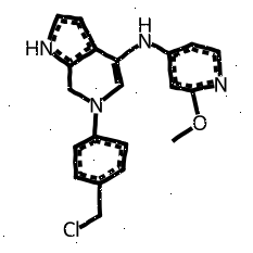 COc1cc(NC2=CN(c3ccc(CCl)cc3)Cc3[nH]ccc32)ccn1